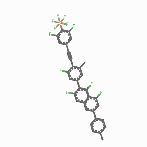 Cc1ccc(-c2cc(F)c3c(F)c(-c4cc(C)c(C#Cc5cc(F)c(S(F)(F)(F)(F)F)c(F)c5)c(F)c4)c(F)cc3c2)cc1